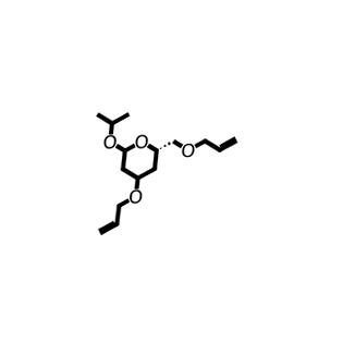 C=CCOC[C@@H]1CC(OCC=C)CC(OC(C)C)O1